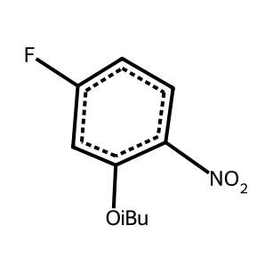 CC(C)COc1cc(F)ccc1[N+](=O)[O-]